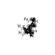 COCC1(NCc2cc3c(c(C(F)(F)F)c2)CN(c2cc(-c4cc(C)ccc4-c4nncn4C)cc(NCC4(CC#N)CC4)n2)C3=O)CCCC1